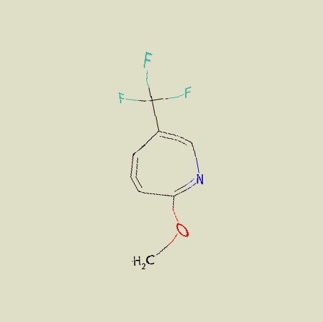 [CH2]Oc1ccc(C(F)(F)F)cn1